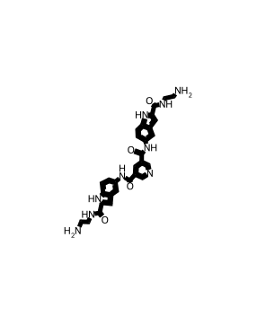 NCCNC(=O)c1cc2cc(NC(=O)c3cncc(C(=O)Nc4ccc5[nH]c(C(=O)NCCN)cc5c4)c3)ccc2[nH]1